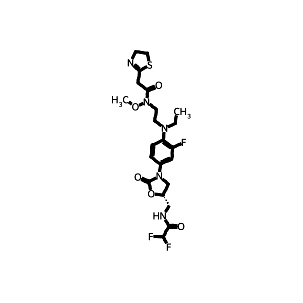 CCN(CCN(OC)C(=O)CC1=NCCS1)c1ccc(N2C[C@H](CNC(=O)C(F)F)OC2=O)cc1F